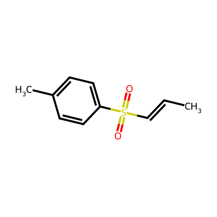 CC=CS(=O)(=O)c1ccc(C)cc1